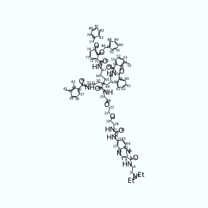 CCN(CC)CCNC(=O)c1cnc2cc(NC(=O)NCCOCCOCCNC(=O)C(CCCNC(=O)c3cccc(C)c3C)(CCCNC(=O)c3cccc(C)c3OCc3ccccc3)CCCNC(=O)c3cccc(OCc4ccccc4)c3OCc3ccccc3)ccc2n1